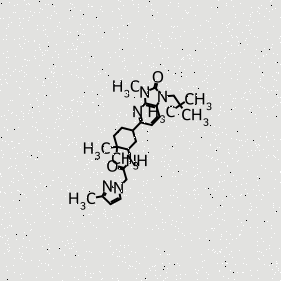 Cc1ccn(CC(=O)NC2CC(c3ccc4c(n3)n(C)c(=O)n4CC(C)(C)C)CCC2(C)C)n1